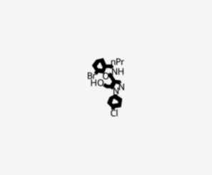 CCC[C@H](NC(=O)c1cnn(-c2ccc(Cl)cc2)c1CO)c1cccc(Br)c1